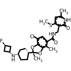 CSc1cc(C)[nH]c(=O)c1CNC(=O)c1cc(Cl)c2c(c1C)O[C@](C)([C@H]1CC[C@@H](N[C@H]3C[C@H](F)C3)CC1)O2